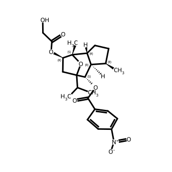 CC(C)C12C[C@@H](OC(=O)CO)[C@@](C)(O1)[C@@H]1CC[C@@H](C)[C@H]1[C@@H]2OC(=O)c1ccc([N+](=O)[O-])cc1